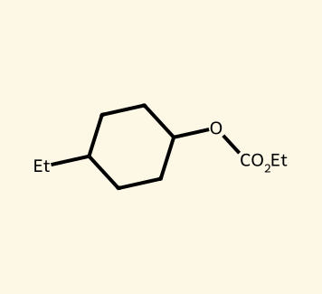 [CH2]COC(=O)OC1CCC(CC)CC1